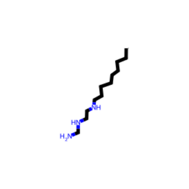 [CH2]CCCCCCCCNCCNCN